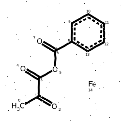 CC(=O)C(=O)OC(=O)c1ccccc1.[Fe]